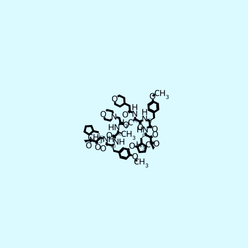 COc1ccc(C[C@H](NC(=O)[C@@H](C)NC(=O)CC2CCOCC2)C(=O)N[C@@H](CC2CCCC2Oc2cc(C[C@H](NC(=O)[C@H](C)NC(=O)CN3CCOCC3)C(=O)N[C@@H](CC3CCCC3)C(=O)[C@@]3(C)CO3)ccc2OC)C(=O)[C@@]2(C)CO2)cc1